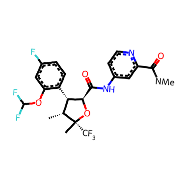 CNC(=O)c1cc(NC(=O)[C@H]2O[C@](C)(C(F)(F)F)[C@H](C)[C@@H]2c2ccc(F)cc2OC(F)F)ccn1